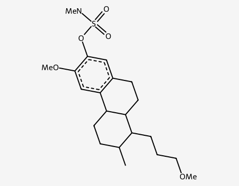 CNS(=O)(=O)Oc1cc2c(cc1OC)C1CCC(C)C(CCCOC)C1CC2